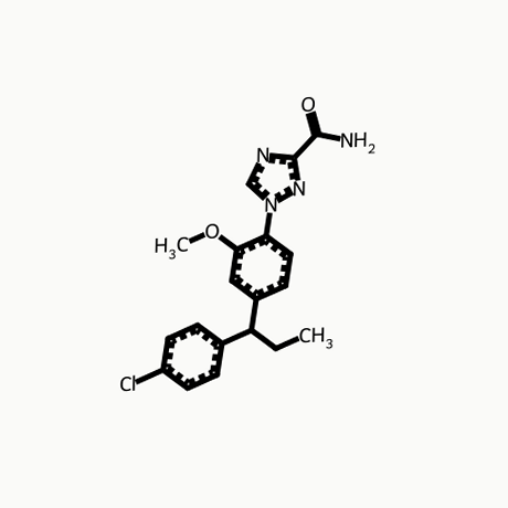 CCC(c1ccc(Cl)cc1)c1ccc(-n2cnc(C(N)=O)n2)c(OC)c1